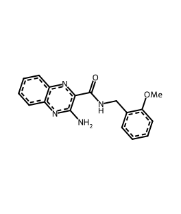 COc1ccccc1CNC(=O)c1nc2ccccc2nc1N